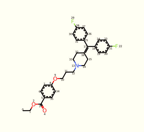 CCOC(=O)c1ccc(OCCCN2CCC(=C(c3ccc(F)cc3)c3ccc(F)cc3)CC2)cc1